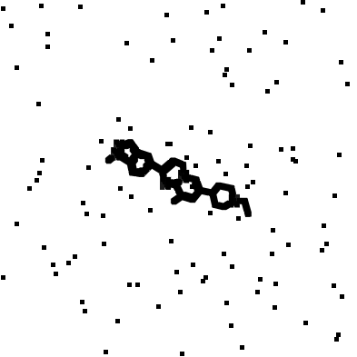 CCN1CCC(C2=CN3CC=C(c4ccc5c(cnn5C)c4)N=C3C(C)=C2)CC1